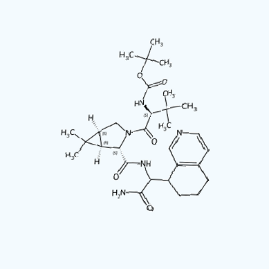 CC(C)(C)OC(=O)N[C@H](C(=O)N1C[C@H]2[C@@H]([C@H]1C(=O)NC(C(N)=O)C1CCCc3ccncc31)C2(C)C)C(C)(C)C